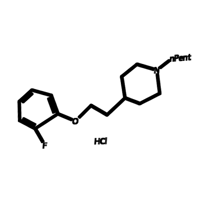 CCCCCN1CCC(CCOc2ccccc2F)CC1.Cl